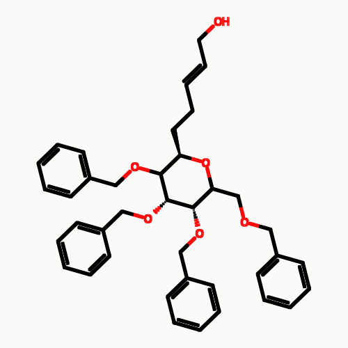 OC/C=C/CC[C@H]1OC(COCc2ccccc2)[C@H](OCc2ccccc2)[C@H](OCc2ccccc2)C1OCc1ccccc1